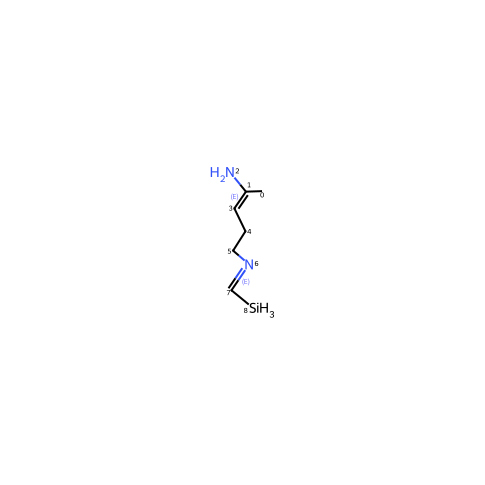 C/C(N)=C\CC/N=C/[SiH3]